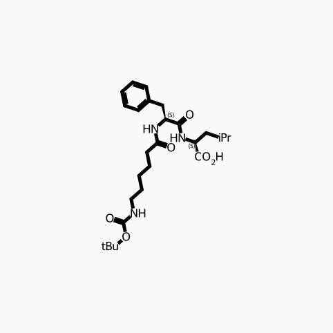 CC(C)C[C@H](NC(=O)[C@H](Cc1ccccc1)NC(=O)CCCCCNC(=O)OC(C)(C)C)C(=O)O